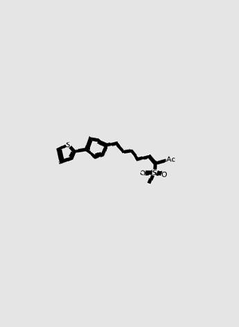 CC(=O)C(CCCCCc1ccc(-c2cccs2)cc1)S(C)(=O)=O